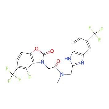 CN(Cc1nc2cc(C(F)(F)F)ccc2[nH]1)C(=O)Cn1c(=O)oc2ccc(C(F)(F)F)c(F)c21